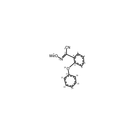 CON=C(C#N)c1ccccc1Oc1ccccc1